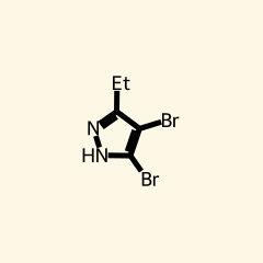 CCc1n[nH]c(Br)c1Br